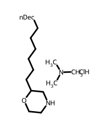 CCCCCCCCCCCCCCCCC1CNCCO1.CN(C)C.Cl